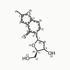 Cc1cc2c(=S)n([C@H]3CC(O)[C@@H](CO)O3)ccc2o1